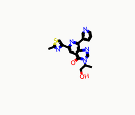 Cc1nc(-c2cc3c(=O)n(C(C)CO)cnc3c(-c3cccnc3)n2)cs1